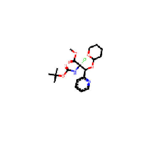 COC(=O)[C@](Cl)(NC(=O)OC(C)(C)C)C(OC1CCCCO1)c1ccccn1